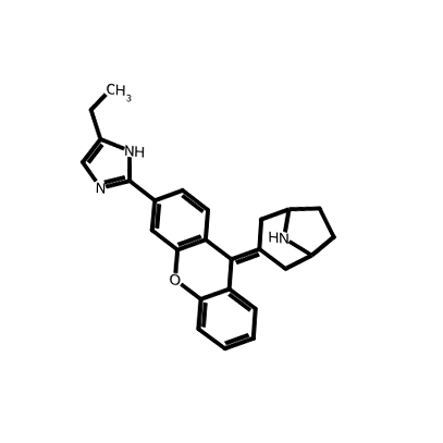 CCc1cnc(-c2ccc3c(c2)Oc2ccccc2C3=C2CC3CCC(C2)N3)[nH]1